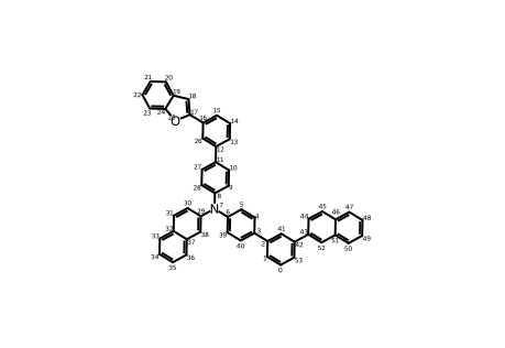 c1cc(-c2ccc(N(c3ccc(-c4cccc(-c5cc6ccccc6o5)c4)cc3)c3ccc4ccccc4c3)cc2)cc(-c2ccc3ccccc3c2)c1